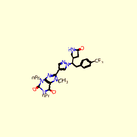 CCCn1c(=O)c2c(nc(-c3cnn(C(Cc4ccc(C(F)(F)F)cc4)C4CNC(=O)C4)c3)n2C)n(CCC)c1=O